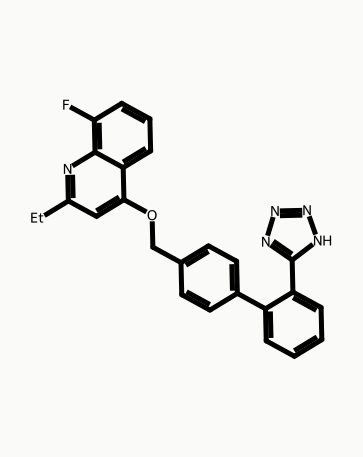 CCc1cc(OCc2ccc(-c3ccccc3-c3nnn[nH]3)cc2)c2cccc(F)c2n1